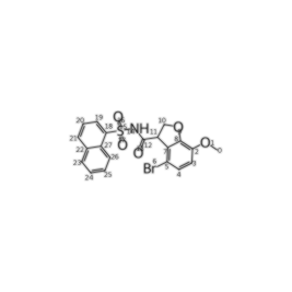 COc1ccc(Br)c2c1OCC2C(=O)NS(=O)(=O)c1cccc2ccccc12